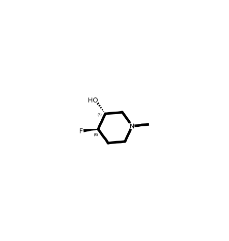 CN1CC[C@@H](F)[C@H](O)C1